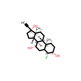 C#C[C@]1(O)CC[C@H]2[C@@H]3[C@@H](O)CC4[C@@H](F)[C@@H](O)CC[C@]4(C)[C@H]3CC[C@@]21C